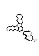 N#Cc1ccc2cc(-c3cc4c5cc6ccccc6cc5n5c6cc7ccccc7cc6c(c3)c45)ccc2c1